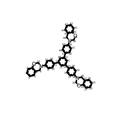 c1ccc2c(c1)CN(c1ccc(-c3cc(-c4ccc(N5COc6ccccc6C5)cc4)cc(-c4ccc(N5COc6ccccc6C5)cc4)c3)cc1)CO2